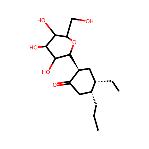 CCC[C@@H]1CC(=O)[C@@H](C2OC(CO)C(O)C(O)C2O)C[C@@H]1CC